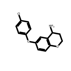 NC1CCOc2ccc(Oc3ccc(Cl)cc3)cc21